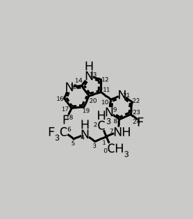 CC(C)(CNCC(F)(F)F)Nc1nc(-c2c[nH]c3ncc(F)cc23)ncc1F